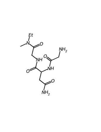 CCN(C)C(=O)CNC(=O)C(CC(N)=O)NC(=O)CN